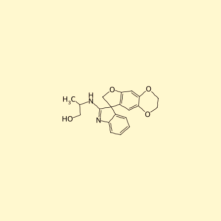 CC(CO)NC1=Nc2ccccc2C12COc1cc3c(cc12)OCCO3